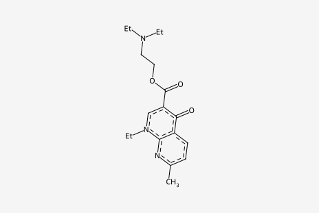 CCN(CC)CCOC(=O)c1cn(CC)c2nc(C)ccc2c1=O